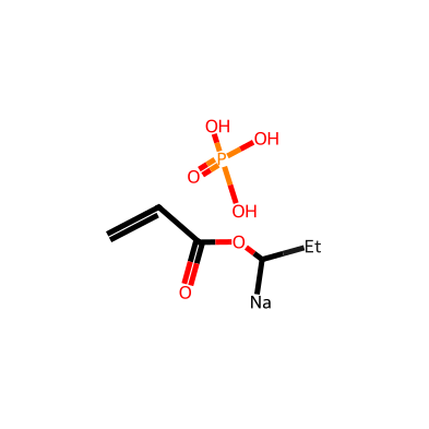 C=CC(=O)O[CH]([Na])CC.O=P(O)(O)O